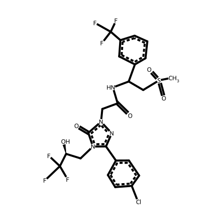 CS(=O)(=O)CC(NC(=O)Cn1nc(-c2ccc(Cl)cc2)n(C[C@H](O)C(F)(F)F)c1=O)c1cccc(C(F)(F)F)c1